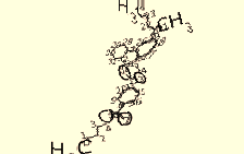 CCCCCOC(=O)c1ccc([C@H]2OC[C@H](c3ccc(C(C)CCC)cc3C3CCCCC3)CO2)cc1